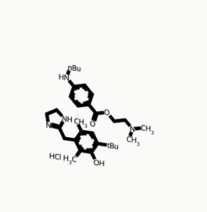 CCCCNc1ccc(C(=O)OCCN(C)C)cc1.Cc1cc(C(C)(C)C)c(O)c(C)c1CC1=NCCN1.Cl